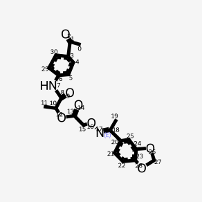 CC(=O)c1ccc(NC(=O)C(C)OC(=O)CO/N=C(\C)c2ccc3c(c2)OCO3)cc1